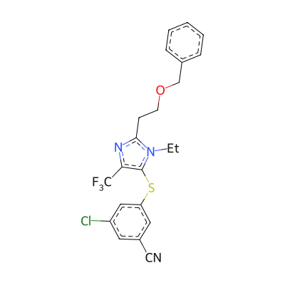 CCn1c(CCOCc2ccccc2)nc(C(F)(F)F)c1Sc1cc(Cl)cc(C#N)c1